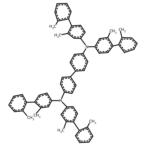 Cc1ccccc1-c1ccc(N(c2ccc(-c3ccc(N(c4ccc(-c5ccccc5C)c(C)c4)c4ccc(-c5ccccc5C)c(C)c4)cc3)cc2)c2ccc(-c3ccccc3C)c(C)c2)cc1C